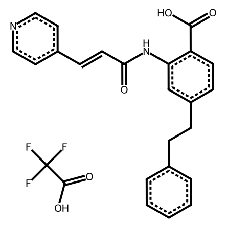 O=C(C=Cc1ccncc1)Nc1cc(CCc2ccccc2)ccc1C(=O)O.O=C(O)C(F)(F)F